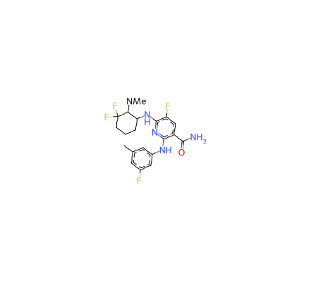 CNC1C(Nc2nc(Nc3cc(C)cc(F)c3)c(C(N)=O)cc2F)CCCC1(F)F